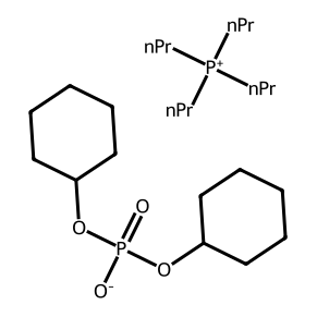 CCC[P+](CCC)(CCC)CCC.O=P([O-])(OC1CCCCC1)OC1CCCCC1